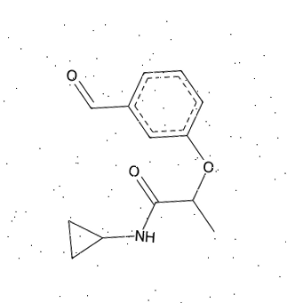 CC(Oc1cccc(C=O)c1)C(=O)NC1CC1